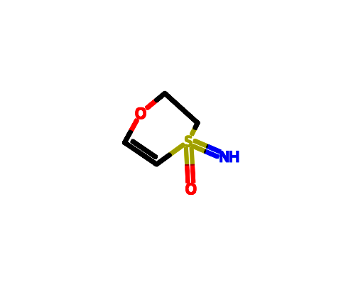 N=S1(=O)C=COCC1